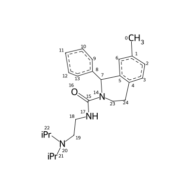 Cc1ccc2c(c1)C(c1ccccc1)N(C(=O)NCCN(C(C)C)C(C)C)CC2